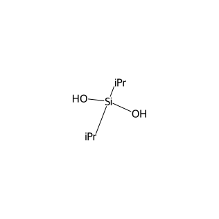 CC(C)[Si](O)(O)C(C)C